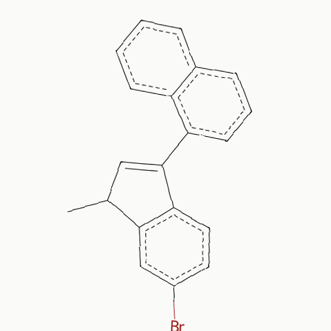 CC1C=C(c2cccc3ccccc23)c2ccc(Br)cc21